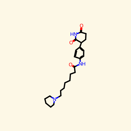 O=C1CCC(c2ccc(NC(=O)CCCCCCCN3CCCCC3)cc2)C(=O)N1